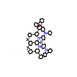 CC(C)(C)c1cc(-c2cc3c4c(c2)N(c2cc(-c5ccccc5)cc(-c5ccccc5)c2)c2cc(-n5c6ccccc6c6ccccc65)ccc2B4c2ccc(N(c4ccccc4)c4ccc(-n5c6ccccc6c6ccccc65)cc4)cc2N3c2cc(-c3ccccc3)cc(-c3ccccc3)c2)cc(C(C)(C)C)c1